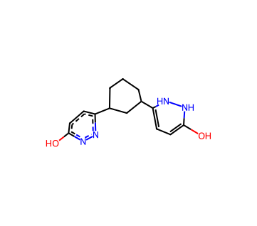 OC1=CC=C(C2CCCC(c3ccc(O)nn3)C2)NN1